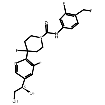 O=C(Nc1ccc(CF)c(F)c1)N1CCC(F)(c2ncc([C@@H](O)CO)cc2F)CC1